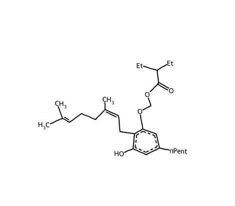 CCCCCc1cc(O)c(CC=C(C)CCC=C(C)C)c(OCOC(=O)C(CC)CC)c1